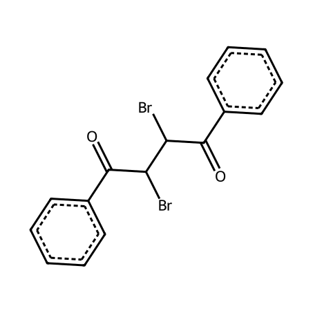 O=C(c1ccccc1)C(Br)C(Br)C(=O)c1ccccc1